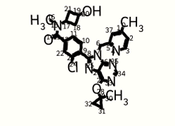 Cc1ccnc(Cn2c(-c3ccc(C(=O)N(C)C4CC(O)C4)cc3Cl)nc3c(OC4(C)CC4)ncnc32)c1